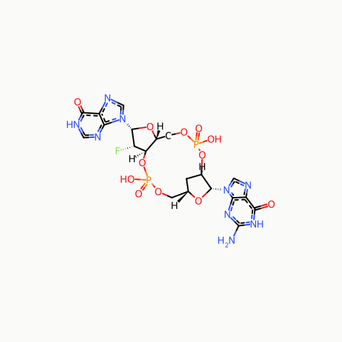 Nc1nc2c(ncn2[C@@H]2O[C@@H]3COP(=O)(O)O[C@H]4[C@H](F)[C@H](n5cnc6c(=O)[nH]cnc65)O[C@@H]4COP(=O)(O)O[C@@H]2C3)c(=O)[nH]1